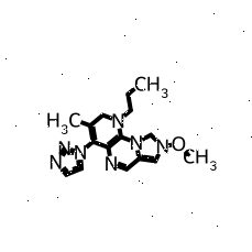 CCCN1CC(C)=C(n2ccnn2)C2=C1N1CN(OC)C=C1C=N2